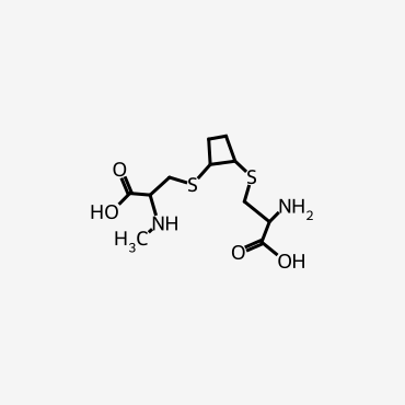 CNC(CSC1CCC1SCC(N)C(=O)O)C(=O)O